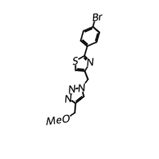 COCc1cn(Cc2csc(-c3ccc(Br)cc3)n2)nn1